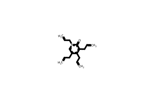 C=CCc1cn(CC=C)c(=O)c(CC=C)c1CC=C